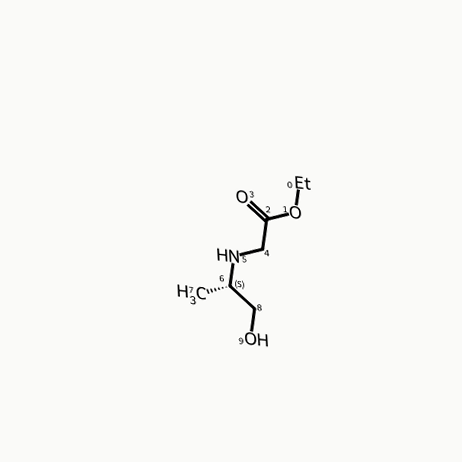 CCOC(=O)CN[C@@H](C)CO